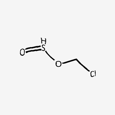 O=[SH]OCCl